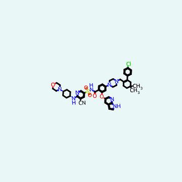 CC1(C)CCC(CN2CCN(c3ccc(C(=O)NS(=O)(=O)c4cnc(N[C@H]5CC[C@H](N6CCOCC6)CC5)c(C#N)c4)c(Oc4cnc5[nH]ccc5c4)c3)CC2)=C(c2ccc(Cl)cc2)C1